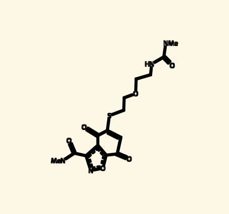 CNC(=O)NCCOCCSC1=CC(=O)c2onc(C(=O)NC)c2C1=O